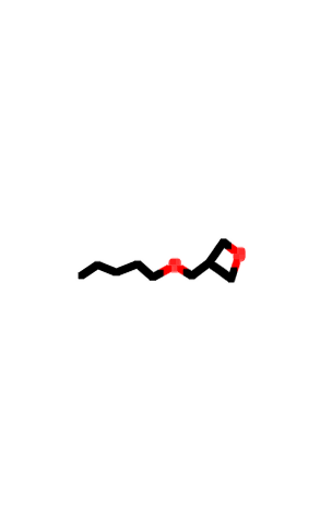 CCCCCOCC1COC1